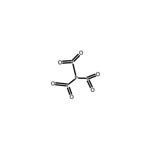 O=I(=O)P(I(=O)=O)I(=O)=O